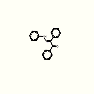 O=C(/C(=N/Nc1ccccc1)c1ccccc1)c1ccccc1